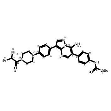 CC(C)COC(=O)Nc1ccc(-c2cnc3c(-c4ccc(N5CCN(C(=O)C(N)C(C)C)CC5)cc4)cnn3c2N)cc1